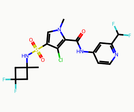 Cn1cc(S(=O)(=O)NC2(C)CC(F)(F)C2)c(Cl)c1C(=O)Nc1ccnc(C(F)F)c1